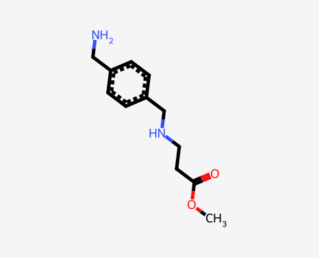 COC(=O)CCNCc1ccc(CN)cc1